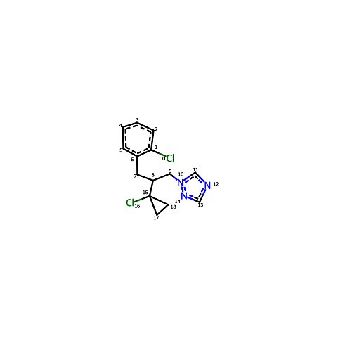 Clc1ccccc1CC(Cn1cncn1)C1(Cl)CC1